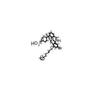 CC(Nc1ncnc2c(OCCCCCC3OCCO3)cc(Br)cc12)c1cccc(C(F)(F)C2CCN(C(=O)O)CC2)c1